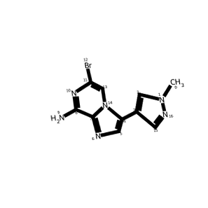 Cn1cc(-c2cnc3c(N)nc(Br)cn23)cn1